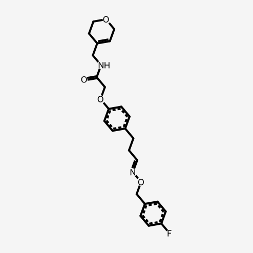 O=C(COc1ccc(CCC=NOCc2ccc(F)cc2)cc1)NCC1=CCOCC1